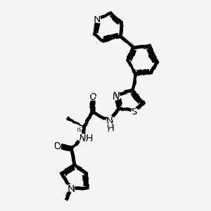 C[C@H](NC(=O)c1ccn(C)c1)C(=O)Nc1nc(-c2cccc(-c3ccncc3)c2)cs1